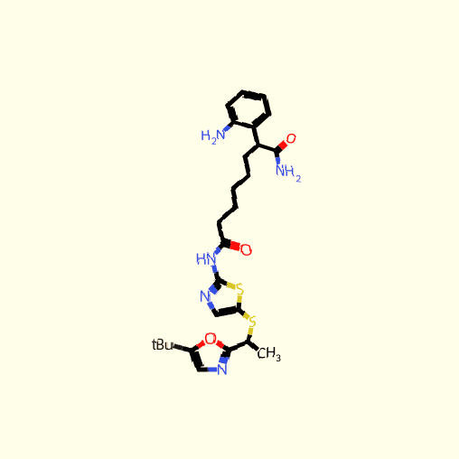 CC(Sc1cnc(NC(=O)CCCCCC(C(N)=O)c2ccccc2N)s1)c1ncc(C(C)(C)C)o1